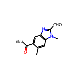 CCCCC(=O)c1cc2nc(C=O)n(C)c2cc1C